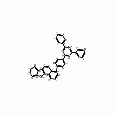 c1ccc(-c2nc(-c3ccccc3)nc(-c3ccc(-c4cccc5c4ccc4c6ccncc6sc54)cc3)n2)cc1